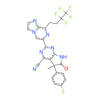 CC1(c2ccc(F)cc2)C(=O)Nc2nc(-c3cn4ccnc4c(CCC(F)(F)C(F)(F)F)n3)nc(C#N)c21